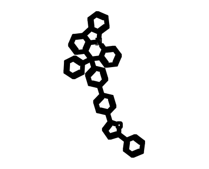 c1ccc(-c2ccc(-c3ccc(-c4ccc(C5(c6ccccc6)c6ccccc6-n6c7ccccc7c7cccc5c76)cc4)cc3)o2)cc1